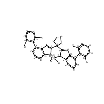 CCC1(CC)C2=Cc3c(-c4c(C)cccc4C)cccc3[CH]2[Hf]([CH3])([CH3])[CH]2C1=Cc1c(-c3c(C)cccc3C)cccc12